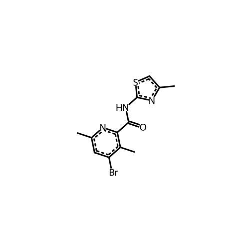 Cc1csc(NC(=O)c2nc(C)cc(Br)c2C)n1